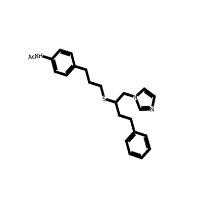 CC(=O)Nc1ccc(CCCSC(CCc2ccccc2)Cn2ccnc2)cc1